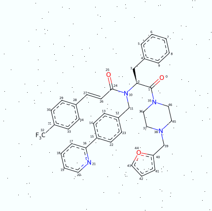 O=C([C@H](Cc1ccccc1)N(Cc1ccc(-c2ccccn2)cc1)C(=O)/C=C/c1ccc(C(F)(F)F)cc1)N1CCN(Cc2ccco2)CC1